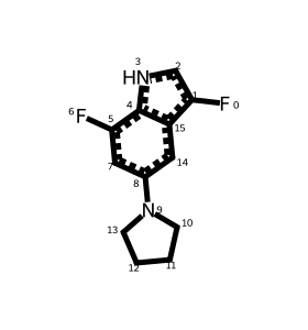 Fc1c[nH]c2c(F)cc(N3CCCC3)cc12